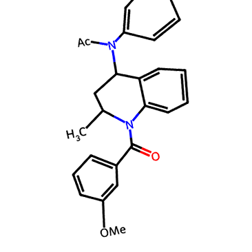 COc1cccc(C(=O)N2c3ccccc3C(N(C(C)=O)c3ccc(Cl)cc3)CC2C)c1